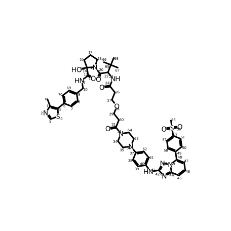 Cc1ncsc1-c1ccc(CNC(=O)C2(O)CCCN2C(=O)C(NC(=O)CCOCCC(=O)N2CCN(c3ccc(Nc4nc5cccc(-c6ccc(S(C)(=O)=O)cc6)n5n4)cc3)CC2)C(C)(C)C)cc1